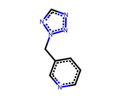 c1cncc(Cn2ncnn2)c1